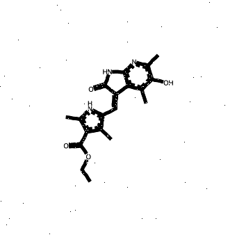 CCOC(=O)c1c(C)[nH]c(/C=C2\C(=O)Nc3nc(C)c(O)c(C)c32)c1C